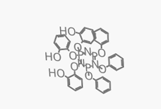 Oc1ccccc1ON1P(Oc2ccccc2)N(Oc2ccccc2)P(Oc2ccccc2)N=P1(Oc1ccccc1O)Oc1ccccc1O